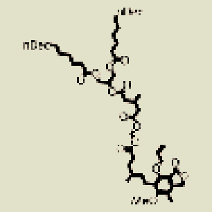 C=CCOc1c(C/C=C(\C)CCC(=O)OCOC(=O)CC(C)CC(=O)OC(COC(=O)CCCCCCCCCCCCCCC)COC(=O)CCCCCCCCCCCCCCC)c(OC)c(C)c2c1C(=O)OC2